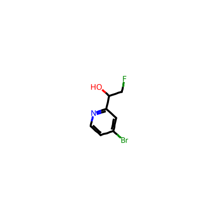 OC(CF)c1cc(Br)ccn1